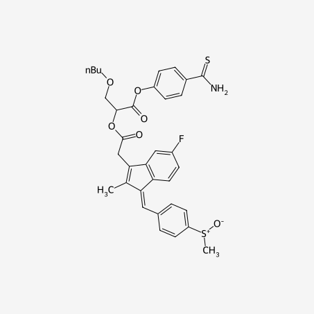 CCCCOCC(OC(=O)CC1=C(C)/C(=C/c2ccc([S+](C)[O-])cc2)c2ccc(F)cc21)C(=O)Oc1ccc(C(N)=S)cc1